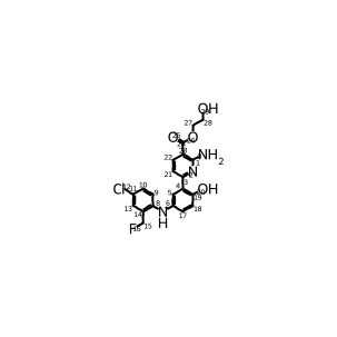 Nc1nc(-c2cc(Nc3ccc(Cl)cc3CF)ccc2O)ccc1C(=O)OCCO